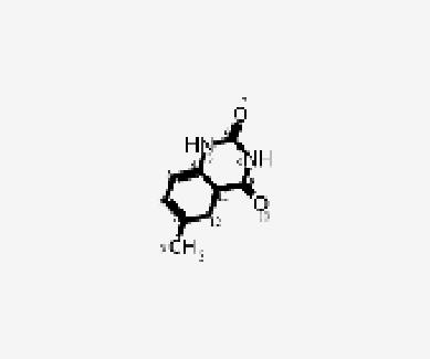 CC1=CC=C2NC(=O)NC(=O)C2C1